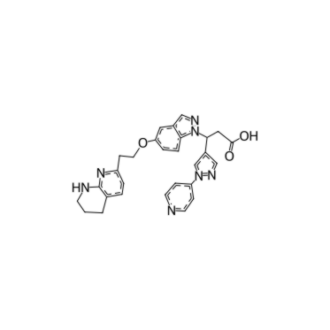 O=C(O)CC(c1cnn(-c2ccncc2)c1)n1ncc2cc(OCCc3ccc4c(n3)NCCC4)ccc21